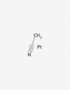 CC#N.[Pt]